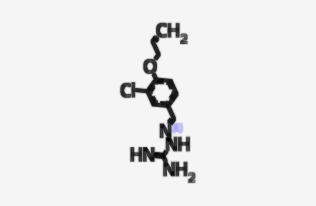 C=CCOc1ccc(/C=N/NC(=N)N)cc1Cl